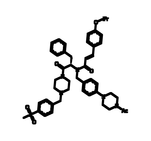 CC(=O)N1CCN(c2ccc(CN(C(=O)/C=C/c3ccc(OC(C)C)cc3)[C@@H](Cc3ccccc3)C(=O)N3CCN(Cc4ccc(S(C)(=O)=O)cc4)CC3)cc2)CC1